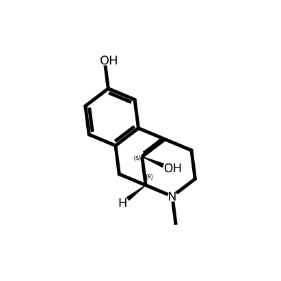 CN1CCC23CCCC[C@@]2(O)[C@H]1Cc1ccc(O)cc13